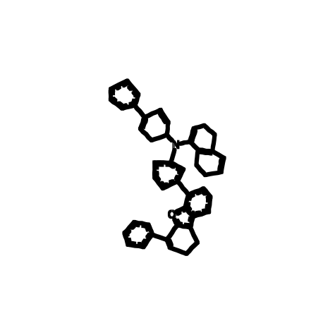 C1=CC2=C(CC1)C(N(c1cccc(-c3cccc4c5c(oc34)C(c3ccccc3)=CCC5)c1)C1C=CC(c3ccccc3)=CC1)=CCC2